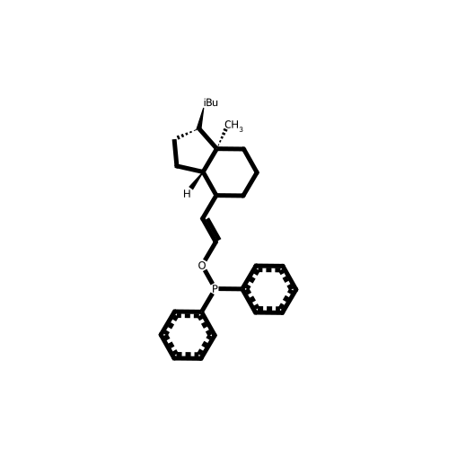 CC[C@H](C)[C@H]1CC[C@H]2C(C=COP(c3ccccc3)c3ccccc3)CCC[C@]12C